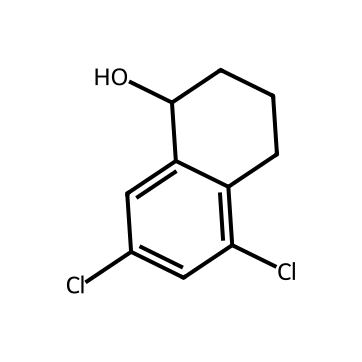 OC1CCCc2c(Cl)cc(Cl)cc21